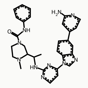 CC(Nc1nccc(-n2cnc3cc(-c4ccnc(N)c4)ccc32)n1)C1CN(C(=O)Nc2ccccc2)CCN1C